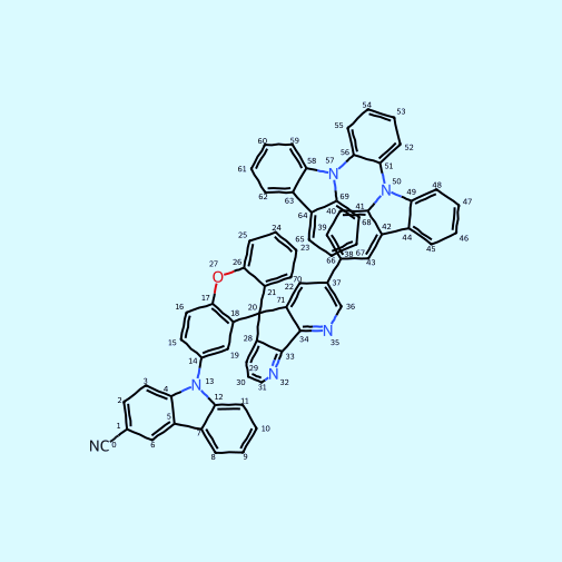 N#Cc1ccc2c(c1)c1ccccc1n2-c1ccc2c(c1)C1(c3ccccc3O2)c2cccnc2-c2ncc(-c3ccc4c(c3)c3ccccc3n4-c3ccccc3-n3c4ccccc4c4ccccc43)cc21